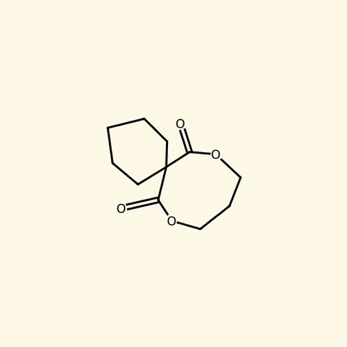 O=C1OCCCOC(=O)C12CCCCC2